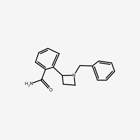 NC(=O)c1ccccc1C1CCN1Cc1ccccc1